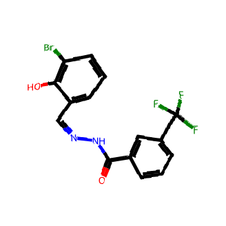 O=C(N/N=C\c1cccc(Br)c1O)c1cccc(C(F)(F)F)c1